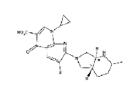 CC1CC[C@@H]2CN(c3nc4c(cc3F)c(=O)c(C(=O)O)cn4C3CC3)C[C@H]2N1